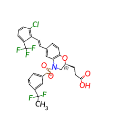 CC(F)(F)c1cccc(S(=O)(=O)N2C[C@H](CCC(=O)O)Oc3ccc(C=Cc4c(Cl)cccc4C(F)(F)F)cc32)c1